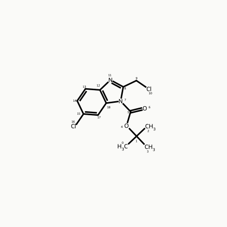 CC(C)(C)OC(=O)n1c(CCl)nc2ccc(Cl)cc21